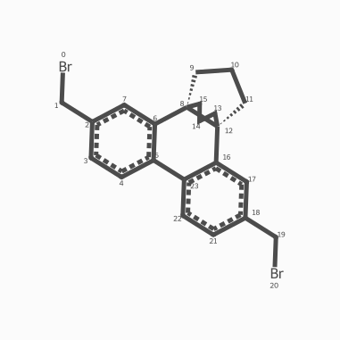 BrCc1ccc2c(c1)[C@]13CCC[C@]1(CCC3)c1cc(CBr)ccc1-2